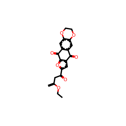 C=C(CC(=O)c1cc2c(o1)C(=O)c1cc3c(cc1C2=O)OCCO3)OCC